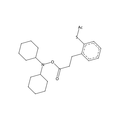 CC(=O)Sc1ccccc1CCC(=O)ON(C1CCCCC1)C1CCCCC1